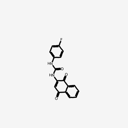 O=C(NC1=CC(=O)c2ccccc2C1=O)Nc1ccc(F)cc1